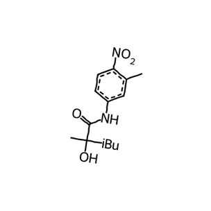 CCC(C)C(C)(O)C(=O)Nc1ccc([N+](=O)[O-])c(C)c1